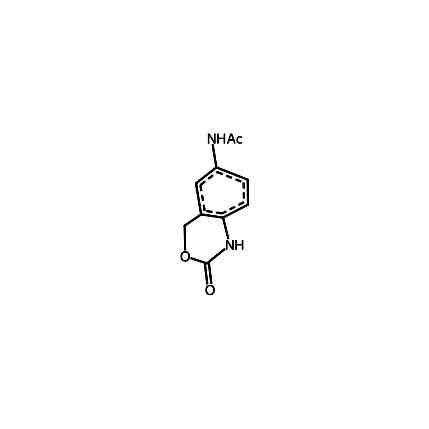 CC(=O)Nc1ccc2c(c1)COC(=O)N2